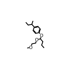 CCCC(OCCOC)Oc1ccc(C(C)CC)cc1